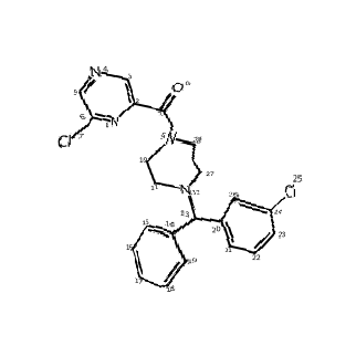 O=C(c1cncc(Cl)n1)N1CCN(C(c2ccccc2)c2cccc(Cl)c2)CC1